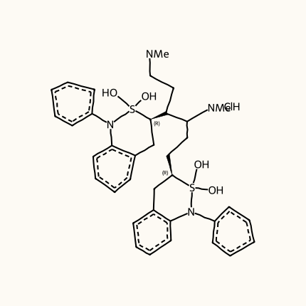 CNCCC(C(CC[C@@H]1Cc2ccccc2N(c2ccccc2)S1(O)O)NC)[C@H]1Cc2ccccc2N(c2ccccc2)S1(O)O.Cl